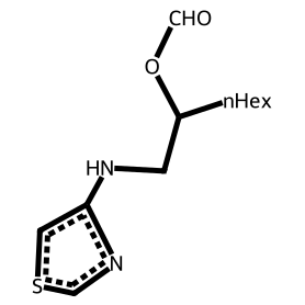 CCCCCCC(CNc1cscn1)OC=O